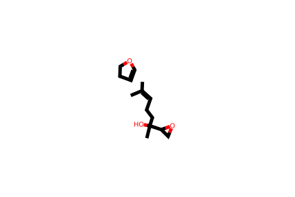 C1=COCC1.CC(C)=CCCC(C)(O)C1CO1